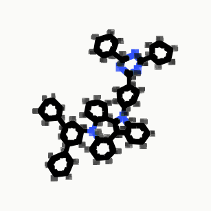 c1ccc(-c2cc(-c3ccccc3)cc(N3c4ccccc4-c4c(n(-c5ccc(-c6nc(-c7ccccc7)nc(-c7ccccc7)n6)cc5)c5ccccc45)-c4ccccc43)c2)cc1